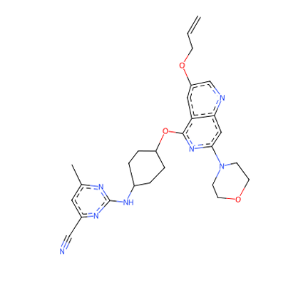 C=CCOc1cnc2cc(N3CCOCC3)nc(OC3CCC(Nc4nc(C)cc(C#N)n4)CC3)c2c1